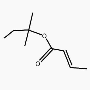 C/C=C/C(=O)OC(C)(C)CC